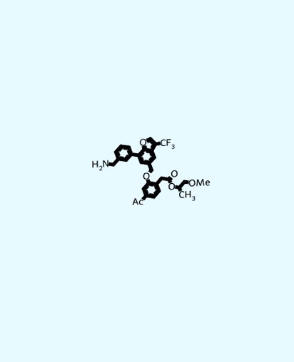 COCC(C)OC(=O)Cc1ccc(C(C)=O)cc1OCc1cc(-c2cccc(CN)c2)c2occ(C(F)(F)F)c2c1